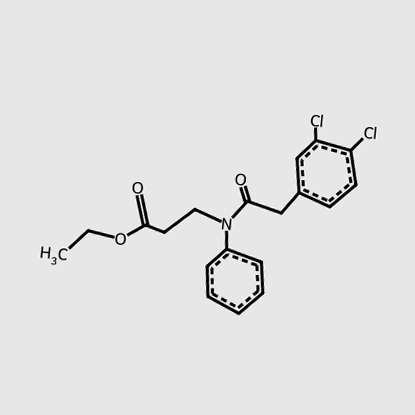 CCOC(=O)CCN(C(=O)Cc1ccc(Cl)c(Cl)c1)c1ccccc1